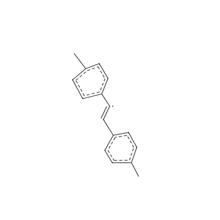 Cc1ccc([C]=Cc2ccc(C)cc2)cc1